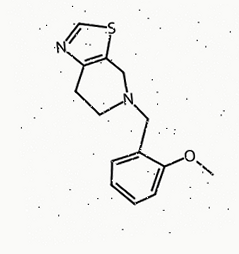 COc1ccccc1CN1CCc2n[c]sc2C1